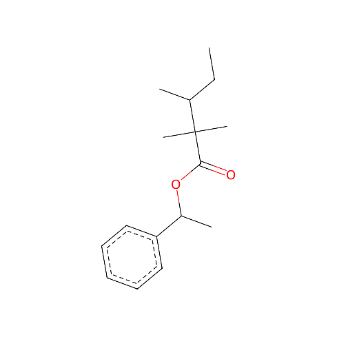 CCC(C)C(C)(C)C(=O)OC(C)c1ccccc1